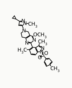 COc1nc(-c2c(C)ccc3c2c(C)nn3S(=O)(=O)c2ccc(C)cc2)nc2c1CN(c1cc(C3CC3)nn1C)CC2